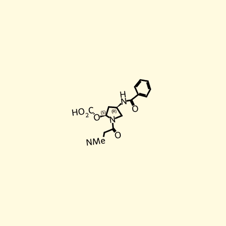 CNCC(=O)N1C[C@H](NC(=O)c2ccccc2)C[C@@H]1OC(=O)O